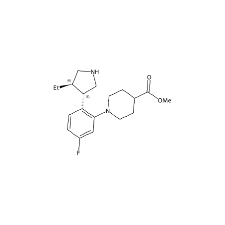 CC[C@H]1CNC[C@@H]1c1ccc(F)cc1N1CCC(C(=O)OC)CC1